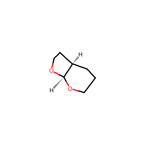 C1CO[C@H]2OCC[C@H]2C1